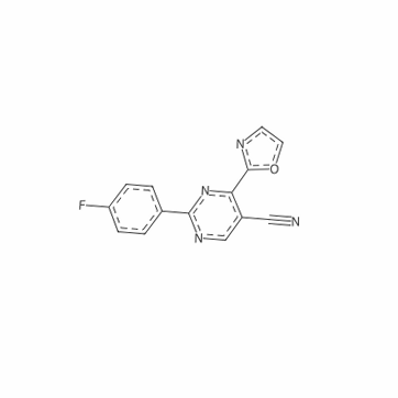 N#Cc1cnc(-c2ccc(F)cc2)nc1-c1ncco1